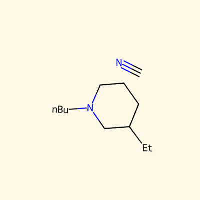 C#N.CCCCN1CCCC(CC)C1